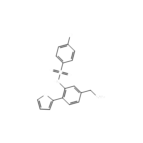 CNCc1ccc(-c2ccco2)c(NS(=O)(=O)c2ccc(Cl)cc2)c1